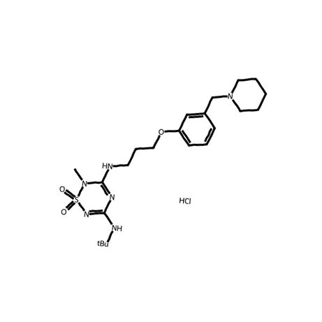 CN1C(NCCCOc2cccc(CN3CCCCC3)c2)=NC(NC(C)(C)C)=NS1(=O)=O.Cl